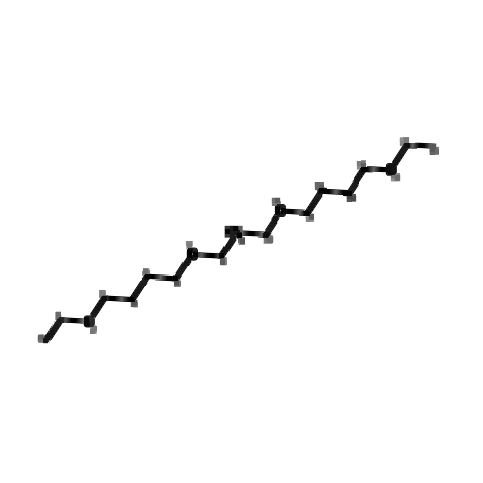 CCOCCCCOCNCOCCCCOCC